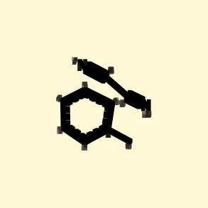 Cc1ccccc1.N#CC#N